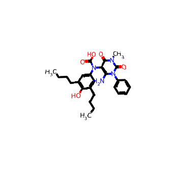 CCCCc1cc(N(C(=O)O)c2c(N)n(-c3ccccc3)c(=O)n(C)c2=O)cc(CCCC)c1O